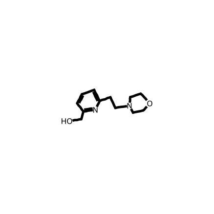 OCc1cccc(CCN2CCOCC2)n1